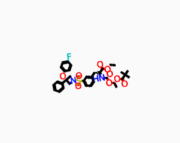 CCOC(=O)[C@H](Cc1cccc(S(=O)(=O)N2CC(Oc3ccc(F)cc3)(c3ccccc3)C2)c1)NC(=O)OC(C)OC(=O)C(C)(C)C